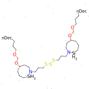 CCCCCCCCCCCCCOCOC1CCC[SiH2]N(CCCSSSCCCN2CCC(OCOCCCCCCCCCCCCC)CCC[SiH2]2)CC1